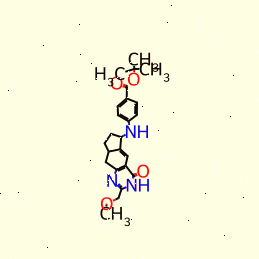 COCc1nc2c(c(=O)[nH]1)C=C1C(CCC1Nc1ccc(C(=O)OC(C)(C)C)cc1)C2